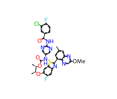 COc1cnc2c(-c3nc4cc(F)c(O[C@@H](C)[C@@H](C)OC(=O)Nc5cnc(NC(=O)c6ccc(F)c(Cl)c6)nc5)cc4s3)cc(C)cc2n1